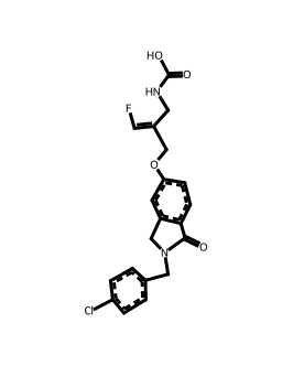 O=C(O)NCC(=CF)COc1ccc2c(c1)CN(Cc1ccc(Cl)cc1)C2=O